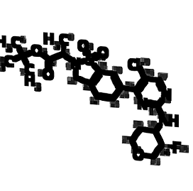 C[C@H](C(=O)OC(C)(C)C)N1Cc2ccc(-c3nc(NC4CCOC[C@H]4F)ncc3Cl)cc2S1(=O)=O